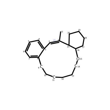 C/C1=C/c2ccccc2CCCCCCOC2CCCCC12